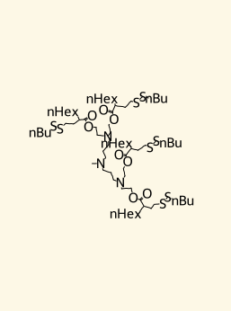 CCCCCCC(CCSSCCCC)C(=O)OCCN(CCCN(C)CCCN(CCOC(=O)C(CCCCCC)CCSSCCCC)CCOC(=O)C(CCCCCC)CCSSCCCC)CCOC(=O)C(CCCCCC)CCSSCCCC